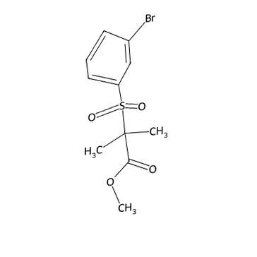 COC(=O)C(C)(C)S(=O)(=O)c1cccc(Br)c1